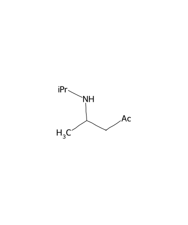 CC(=O)CC(C)NC(C)C